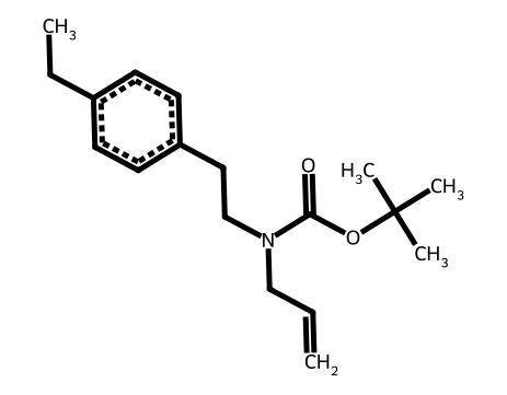 C=CCN(CCc1ccc(CC)cc1)C(=O)OC(C)(C)C